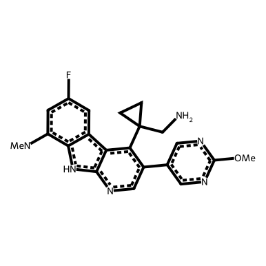 CNc1cc(F)cc2c1[nH]c1ncc(-c3cnc(OC)nc3)c(C3(CN)CC3)c12